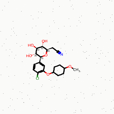 COC1CCC(Oc2cc([C@@H]3O[C@H](CC#N)[C@@H](O)[C@H](O)[C@H]3O)ccc2Cl)CC1